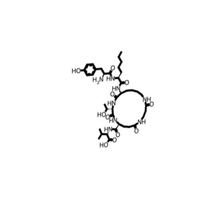 CCCCC[C@H](NC(=O)[C@@H](N)Cc1ccc(O)cc1)C(=O)N[C@H]1CCCCNC(=O)CCNC(=O)CC[C@@H](C(=O)N[C@H](C(=O)O)C(C)C)NC(=O)[C@H](C(C)O)NC1=O